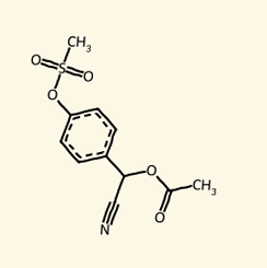 CC(=O)OC(C#N)c1ccc(OS(C)(=O)=O)cc1